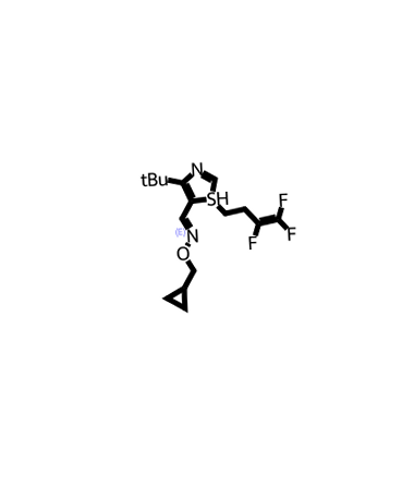 CC(C)(C)C1=C(/C=N/OCC2CC2)[SH](CCC(F)=C(F)F)C=N1